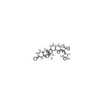 O=C1SC(=Cc2ccc3c(cnn3Cc3ccc(Cl)cc3C(F)(F)F)c2)C(=O)N1[C@@H]1CCOC1